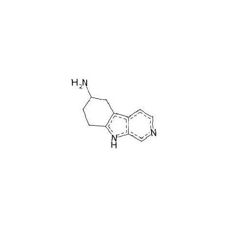 NC1CCc2[nH]c3cnccc3c2C1